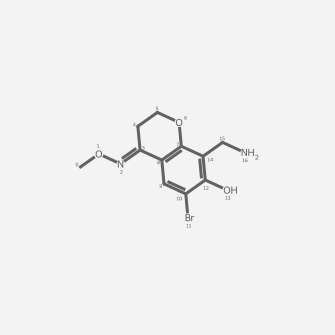 CO/N=C1\CCOc2c1cc(Br)c(O)c2CN